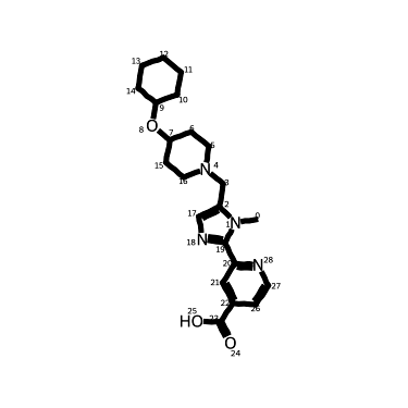 Cn1c(CN2CCC(OC3CCCCC3)CC2)cnc1-c1cc(C(=O)O)ccn1